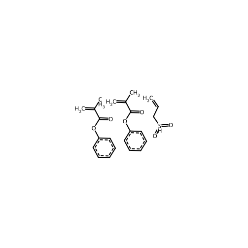 C=C(C)C(=O)Oc1ccccc1.C=C(C)C(=O)Oc1ccccc1.C=CC[SH](=O)=O